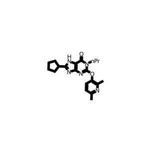 CCCn1c(Oc2ccc(C)nc2C)nc2nc(C3CCCC3)[nH]c2c1=O